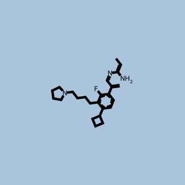 C=C(/C=N\C(N)=C/C)c1ccc(C2CCC2)c(CCCCN2CCCC2)c1F